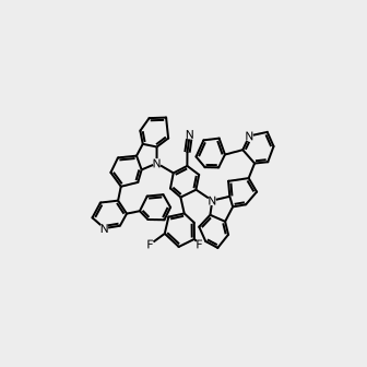 N#Cc1cc(-n2c3ccccc3c3ccc(-c4cccnc4-c4ccccc4)cc32)c(-c2cc(F)cc(F)c2)cc1-n1c2ccccc2c2ccc(-c3ccncc3-c3ccccc3)cc21